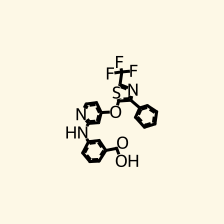 O=C(O)c1cccc(Nc2cc(Oc3sc(C(F)(F)F)nc3-c3ccccc3)ccn2)c1